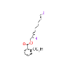 O=C(O)c1ccccc1C(=O)OCC(I)CCCCCCCI